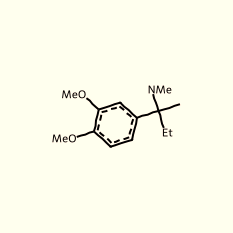 CCC(C)(NC)c1ccc(OC)c(OC)c1